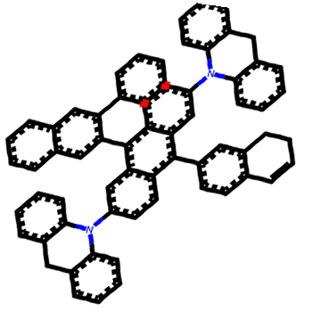 C1=Cc2ccc(-c3c4cc(N5c6ccccc6Cc6ccccc65)ccc4c(-c4cc5ccccc5cc4-c4ccccc4)c4cc(N5c6ccccc6Cc6ccccc65)ccc34)cc2CC1